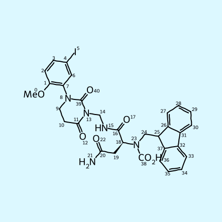 COc1ccc(I)cc1N1CCC(=O)N(CNC(=O)[C@H](CC(N)=O)N(CC2c3ccccc3-c3ccccc32)C(=O)O)C1=O